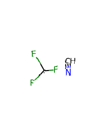 C#N.F[C](F)F